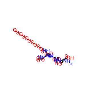 COCCOCCOCCOCCOCCOCCOCCOCCOCCOCC(=O)NCCCC[C@H](NC(=O)CCCNC(=O)/C=C/C(=O)OC)C(=O)NCCCC(=O)NCC(=O)Nc1cc(C[C@H](N)CCC(=O)O)ccc1O